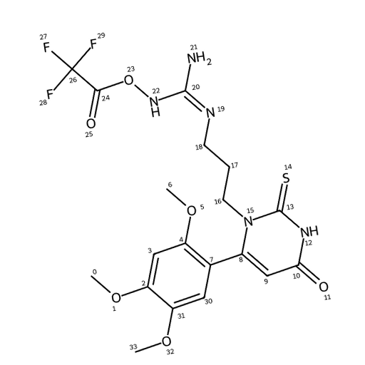 COc1cc(OC)c(-c2cc(=O)[nH]c(=S)n2CCCN=C(N)NOC(=O)C(F)(F)F)cc1OC